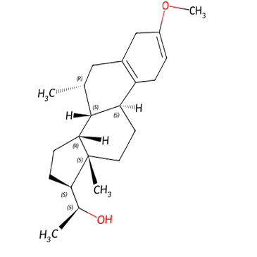 COC1=CCC2=C(C1)C[C@@H](C)[C@@H]1[C@@H]2CC[C@@]2(C)[C@@H]1CC[C@@H]2[C@H](C)O